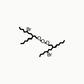 CCCCC=CC(CCOCOCOCCC(C=CCCCC)CCC(Br)CCCC)CCC(Br)CCCC